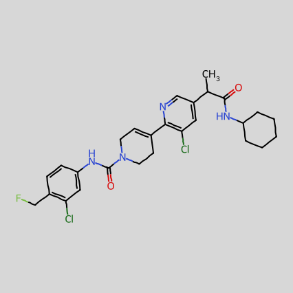 CC(C(=O)NC1CCCCC1)c1cnc(C2=CCN(C(=O)Nc3ccc(CF)c(Cl)c3)CC2)c(Cl)c1